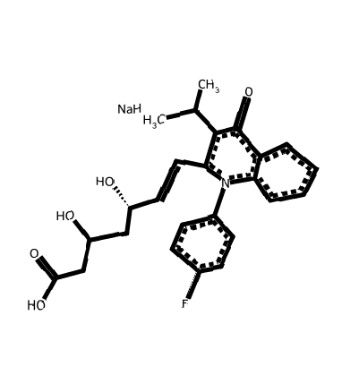 CC(C)c1c(/C=C/[C@@H](O)CC(O)CC(=O)O)n(-c2ccc(F)cc2)c2ccccc2c1=O.[NaH]